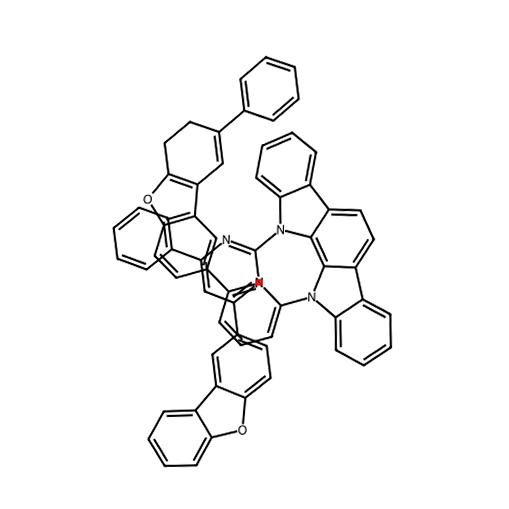 C1=C(c2ccccc2)CCc2oc3ccc(-c4cccc(-n5c6ccccc6c6ccc7c8ccccc8n(-c8nc(-c9ccccc9)cc(-c9ccc%10oc%11ccccc%11c%10c9)n8)c7c65)n4)cc3c21